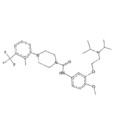 COc1ccc(NC(=O)N2CCN(c3cccc(C(F)(F)F)c3C)CC2)cc1OCCN(C(C)C)C(C)C